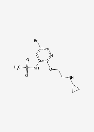 CS(=O)(=O)Nc1cc(Br)cnc1OCCNC1CC1